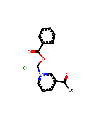 CCC(=O)c1ccc[n+](COC(=O)c2ccccc2)c1.[Cl-]